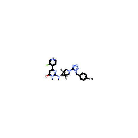 CN(c1nc(-c2ccncc2F)cc(=O)n1C)[C@@H]1[C@@H]2CN(c3nnnn3Cc3ccc(C#N)cc3)C[C@@H]21